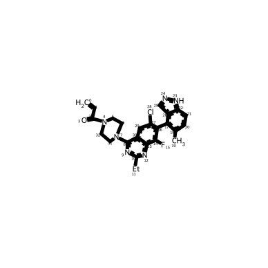 C=CC(=O)N1CCN(c2nc(CC)nc3c(F)c(-c4c(C)ccc5[nH]ncc45)c(Cl)cc23)CC1